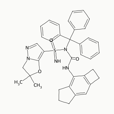 CC1(C)Cn2ncc(S(=N)(=O)N(C(=O)Nc3c4c(cc5c3CC5)CCC4)C(c3ccccc3)(c3ccccc3)c3ccccc3)c2O1